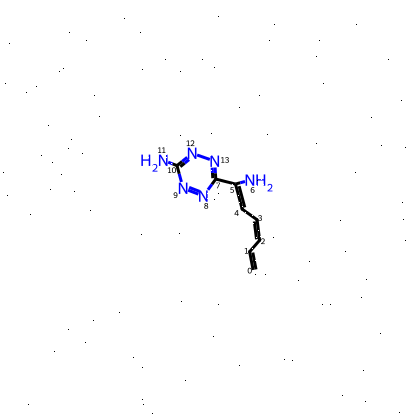 C=C/C=C\C=C(/N)c1nnc(N)nn1